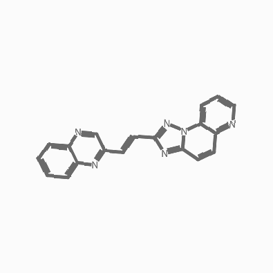 C(=C\c1nc2ccc3ncccc3n2n1)/c1cnc2ccccc2n1